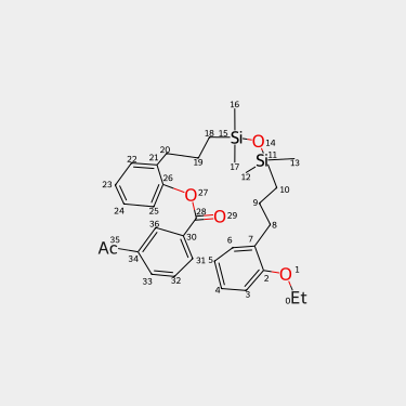 CCOc1ccccc1CCC[Si](C)(C)O[Si](C)(C)CCCc1ccccc1OC(=O)c1cccc(C(C)=O)c1